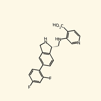 O=C(O)c1ccncc1NC[C@H]1NCc2cc(-c3ccc(F)cc3F)ccc21